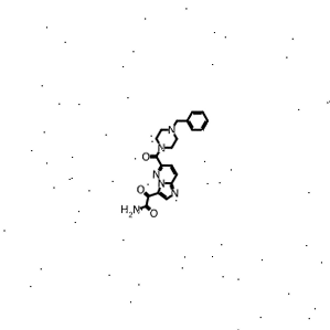 NC(=O)C(=O)c1cnc2ccc(C(=O)N3CCN(Cc4ccccc4)CC3)nn12